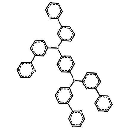 c1ccc(-c2cccc(N(c3ccc(N(c4cccc(-c5ccccn5)c4)c4cccc(-c5ccccn5)c4)cc3)c3cccc(-c4ccccn4)c3)c2)nc1